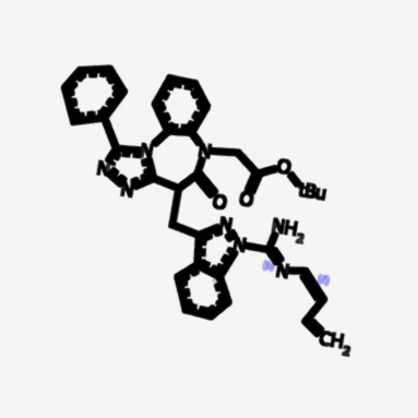 C=C/C=C\N=C(/N)n1nc(CC2C(=O)N(CC(=O)OC(C)(C)C)c3ccccc3-n3c(-c4ccccc4)nnc32)c2ccccc21